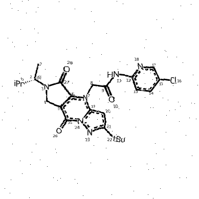 CC(C)[C@H](C)N1Cc2c(n(CC(=O)Nc3ccc(Cl)cn3)c3cc(C(C)(C)C)nn3c2=O)C1=O